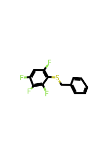 Fc1cc(F)c(SCc2ccccc2)c(F)c1F